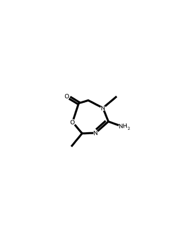 CC1N=C(N)N(C)CC(=O)O1